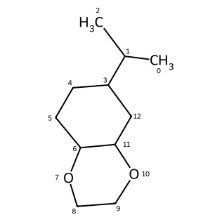 CC(C)C1CCC2OCCOC2C1